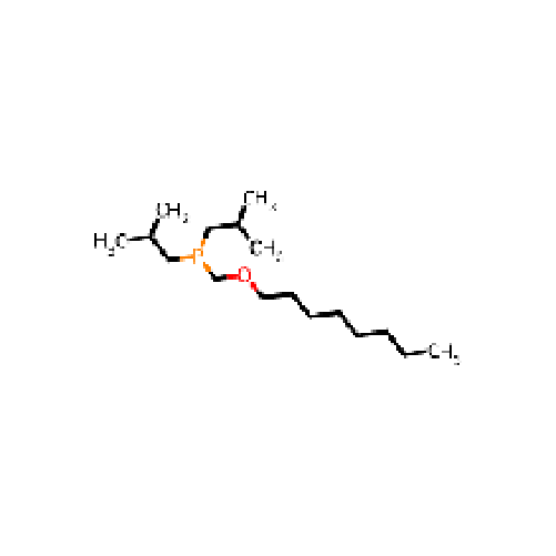 CCCCCCCCOCP(CC(C)C)CC(C)C